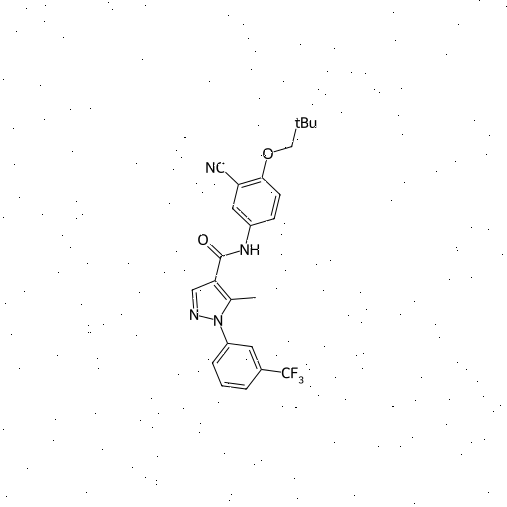 Cc1c(C(=O)Nc2ccc(OCC(C)(C)C)c(C#N)c2)cnn1-c1cccc(C(F)(F)F)c1